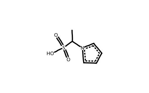 CC(n1cccc1)S(=O)(=O)O